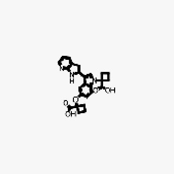 O=C(O)C1(Oc2ccc3c(c2)c(C2Cc4cccnc4N2)cn3C2(C(=O)O)CCC2)CCC1